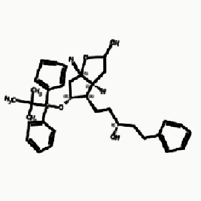 CC(C)(C)[Si](O[C@@H]1C[C@@H]2OC(O)C[C@H]2[C@H]1CC[C@@H](O)CCc1ccccc1)(c1ccccc1)c1ccccc1